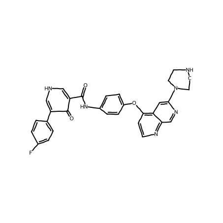 O=C(Nc1ccc(Oc2ccnc3cnc(N4CCNCC4)cc23)cc1)c1c[nH]cc(-c2ccc(F)cc2)c1=O